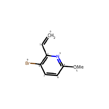 C=[C]c1nc(OC)ccc1Br